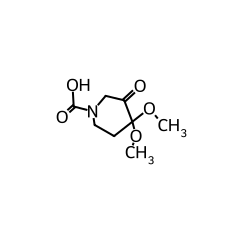 COC1(OC)CCN(C(=O)O)CC1=O